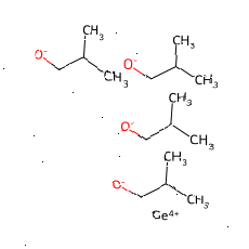 CC(C)C[O-].CC(C)C[O-].CC(C)C[O-].CC(C)C[O-].[Ge+4]